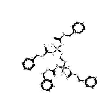 C[Si](OCO[Si](C)(OC(=O)OCc1ccccc1)OC(=O)OCc1ccccc1)(OC(=O)OCc1ccccc1)OC(=O)OCc1ccccc1